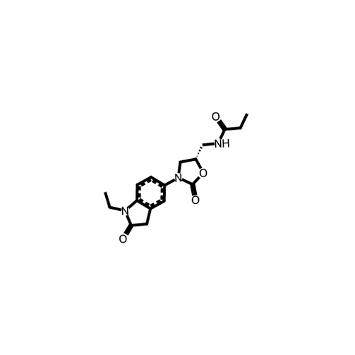 CCC(=O)NC[C@H]1CN(c2ccc3c(c2)CC(=O)N3CC)C(=O)O1